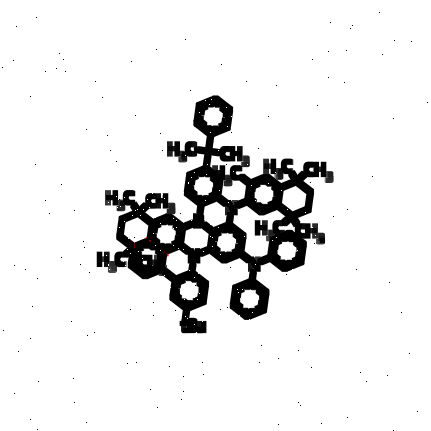 Cc1cc2c(cc1N1c3cc(C(C)(C)c4ccccc4)ccc3B3c4cc5c(cc4N(c4ccc(C(C)(C)C)cc4-c4ccccc4)c4cc(N(c6ccccc6)c6ccccc6)cc1c43)C(C)(C)CCC5(C)C)C(C)(C)CCC2(C)C